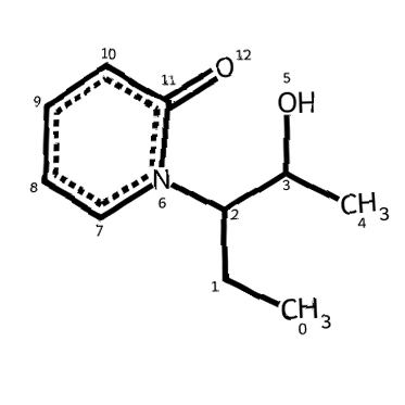 CCC(C(C)O)n1ccccc1=O